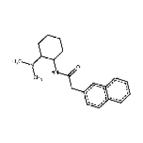 CN(C)C1CCCCC1NC(=O)Cc1ccc2ccccc2c1